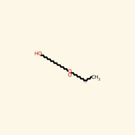 CCCC/C=C\CCCCCCCC(=O)OCCCCCCCCCCCCCCCCCO